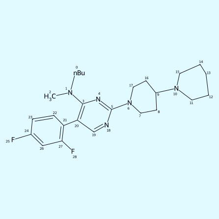 CCCCN(C)c1nc(N2CCC(N3CCCCC3)CC2)ncc1-c1ccc(F)cc1F